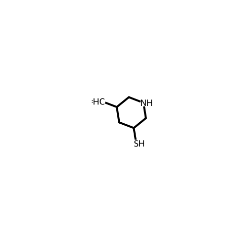 [CH]C1CNCC(S)C1